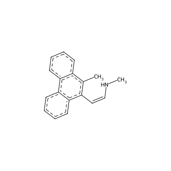 CN/C=C\c1c(C)c2ccccc2c2ccccc12